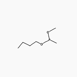 CCCCOP(C)OC